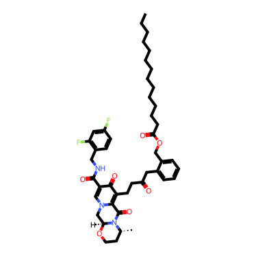 CCCCCCCCCCCCCC(=O)OCc1ccccc1CC(=O)CCc1c2n(cc(C(=O)NCc3ccc(F)cc3F)c1=O)C[C@@H]1OCC[C@@H](C)N1C2=O